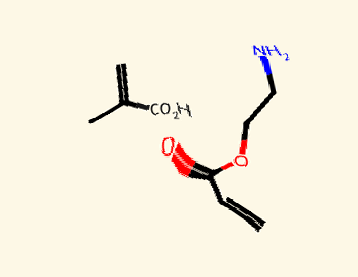 C=C(C)C(=O)O.C=CC(=O)OCCN